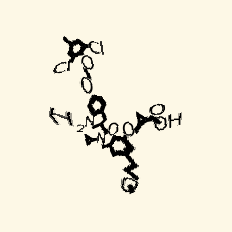 COCCCc1cc(CN(C(=O)C(CN)Cc2ccc(OCCOc3c(Cl)cc(C)cc3Cl)cc2)C2CC2)cc(OCC2CC2C(=O)O)c1